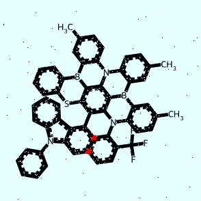 Cc1ccc2c(c1)B1c3ccccc3Sc3c1c1c4c(c3-c3cccc5c3c3ccccc3n5-c3ccccc3)N(c3ccccc3C(F)(F)F)c3ccc(C)cc3B4c3cc(C)ccc3N21